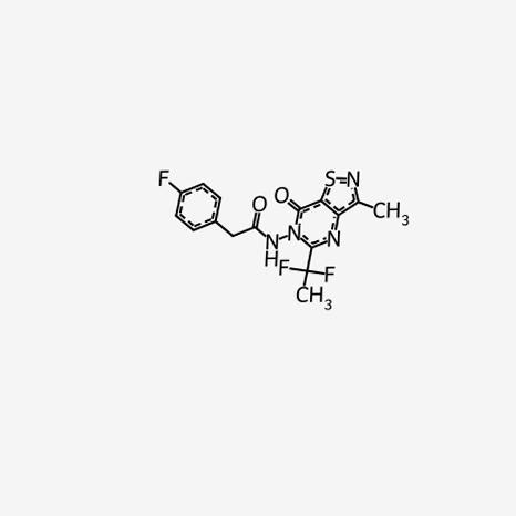 Cc1nsc2c(=O)n(NC(=O)Cc3ccc(F)cc3)c(C(C)(F)F)nc12